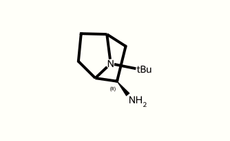 CC(C)(C)N1C2CCC1[C@H](N)C2